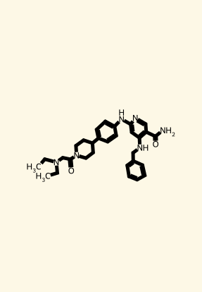 CCN(CC)CC(=O)N1CCC(c2ccc(Nc3cc(NCc4ccccc4)c(C(N)=O)cn3)cc2)CC1